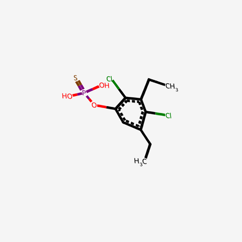 CCc1cc(OP(O)(O)=S)c(Cl)c(CC)c1Cl